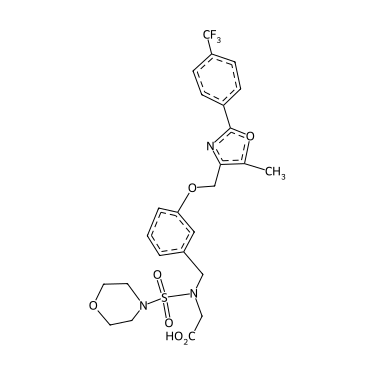 Cc1oc(-c2ccc(C(F)(F)F)cc2)nc1COc1cccc(CN(CC(=O)O)S(=O)(=O)N2CCOCC2)c1